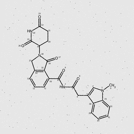 Cn1cc(CC(=O)NC(=O)c2cccc3c2C(=O)N(C2CCC(=O)NC2=O)C3)c2ccccc21